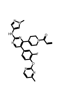 C=CC(=O)N1CC=C(c2nc(Nc3cnn(C)c3)ncc2-c2ccc(Oc3nccc(C)n3)c(F)c2)CC1